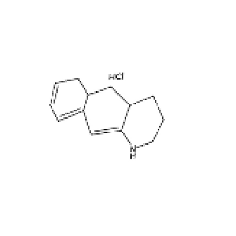 C1=CCC2CC3CCCNC3=CC2=C1.Cl